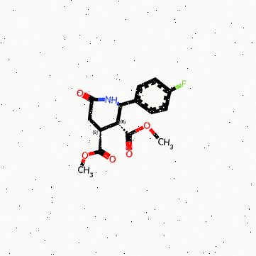 COC(=O)[C@H]1CC(=O)NC(c2ccc(F)cc2)[C@@H]1C(=O)OC